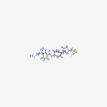 Nc1nccc2c(NCc3ccc(N4CCC(CC(F)F)C4)nc3)cccc12